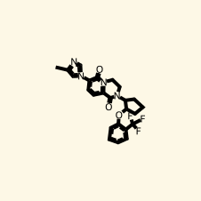 Cc1cn(-c2ccc3n(c2=O)CCN(C2CCCC2Oc2ccccc2C(F)(F)F)C3=O)cn1